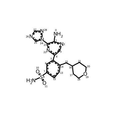 Nc1ncc(-c2cc(S(N)(=O)=O)ccc2CC2CCOCC2)nc1-n1cncn1